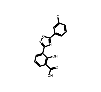 O=C(O)c1cccc(-c2noc(-c3cccc(Cl)c3)n2)c1O